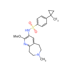 COc1nc2c(cc1NS(=O)(=O)c1ccc(C3(C(F)(F)F)CC3)cc1)CCN(C)CC2